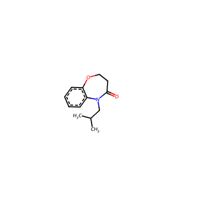 CC(C)CN1C(=O)CCOc2ccccc21